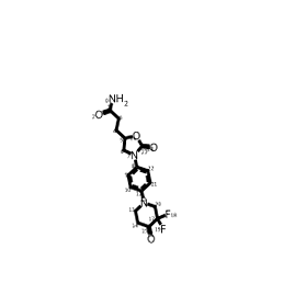 NC(=O)CCC1CN(c2ccc(N3CCC(=O)C(F)(F)C3)cc2)C(=O)O1